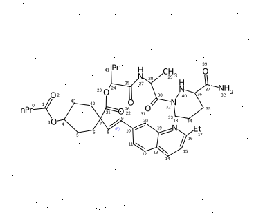 CCCC(=O)OC1CCC(/C=C/c2ccc3ccc(CC)nc3c2)(C(=O)OC(C(=O)NC(C)C(=O)N2CCCC(C(N)=O)N2)C(C)C)CC1